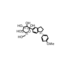 COc1ccc([C@H]2CCc3cc([C@]4(O)O[C@H](CO)[C@@H](O)[C@H](O)[C@H]4O)ccc32)cc1